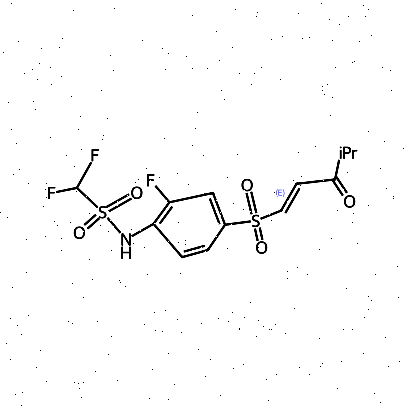 CC(C)C(=O)/C=C/S(=O)(=O)c1ccc(NS(=O)(=O)C(F)F)c(F)c1